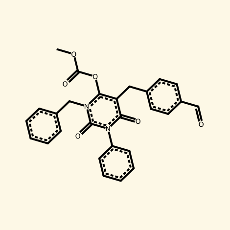 COC(=O)Oc1c(Cc2ccc(C=O)cc2)c(=O)n(-c2ccccc2)c(=O)n1Cc1ccccc1